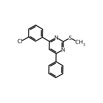 CSc1nc(-c2ccccc2)cc(-c2cccc(Cl)c2)n1